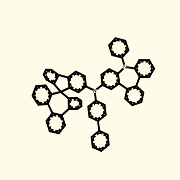 c1ccc(-c2ccc(N(c3ccc4c(c3)-c3ccccc3-c3ccccc3N4c3ccccc3)c3ccc4c(c3)C3(c5ccccc5-c5ccccc5-c5ccccc53)c3ccccc3-4)cc2)cc1